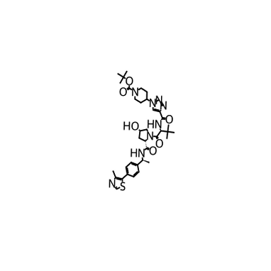 Cc1ncsc1-c1ccc([C@H](C)NC(=O)[C@@H]2C[C@@H](O)CN2C(=O)[C@@H](NC(=O)c2cn(C3CCN(C(=O)OC(C)(C)C)CC3)nn2)C(C)(C)C)cc1